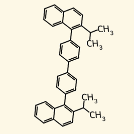 CC(C)c1ccc2ccccc2c1-c1ccc(-c2ccc(-c3c(C(C)C)ccc4ccccc34)cc2)cc1